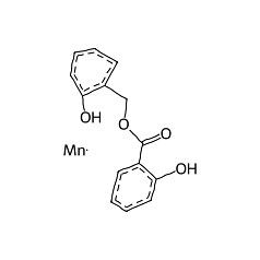 O=C(OCc1ccccc1O)c1ccccc1O.[Mn]